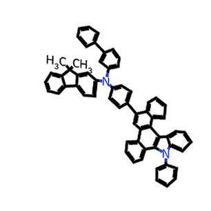 CC1(C)c2ccccc2-c2ccc(N(c3ccc(-c4cc5c6ccccc6c6c(c7ccccc7n6-c6ccccc6)c5c5ccccc45)cc3)c3cccc(-c4ccccc4)c3)cc21